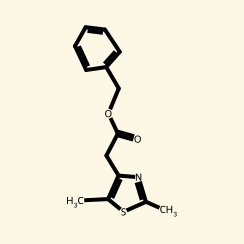 Cc1nc(CC(=O)OCc2ccccc2)c(C)s1